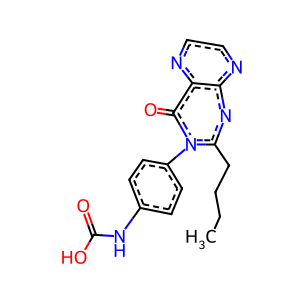 CCCCc1nc2nccnc2c(=O)n1-c1ccc(NC(=O)O)cc1